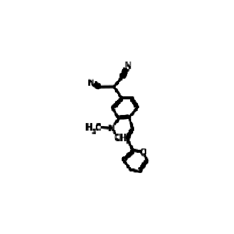 CN(C)c1cc(C(C#N)C#N)ccc1C=CC1=CCC=CO1